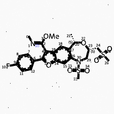 C/N=C(\OC)c1c(-c2ccc(F)cc2)oc2cc3c(cc12)[C@H](C)O[C@H](CS(C)(=O)=O)CN3S(C)(=O)=O